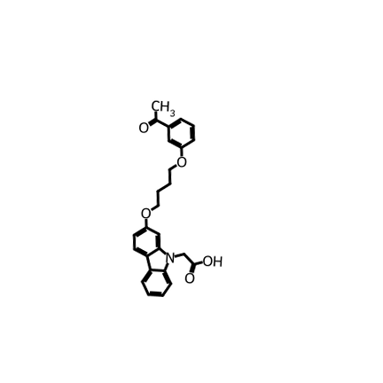 CC(=O)c1cccc(OCCCCOc2ccc3c4ccccc4n(CC(=O)O)c3c2)c1